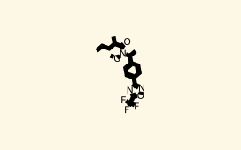 CCCC(C)C(=O)N(OC)C(C)c1ccc(-c2noc(C(F)(F)F)n2)cc1